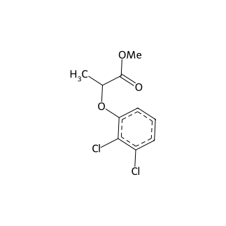 COC(=O)C(C)Oc1cccc(Cl)c1Cl